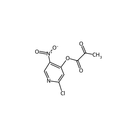 CC(=O)C(=O)Oc1cc(Cl)ncc1[N+](=O)[O-]